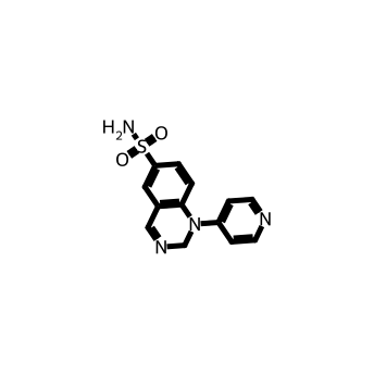 NS(=O)(=O)c1ccc2c(c1)C=NCN2c1ccncc1